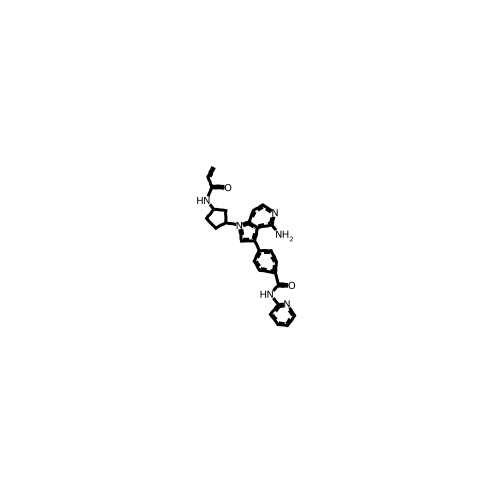 C=CC(=O)NC1CCC(n2cc(-c3ccc(C(=O)Nc4ccccn4)cc3)c3c(N)nccc32)C1